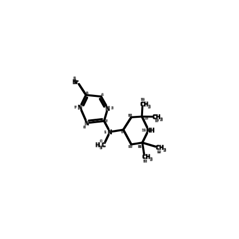 CN(c1ncc(Br)nn1)C1CC(C)(C)NC(C)(C)C1